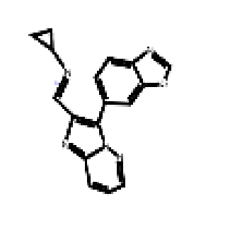 C(=N\C1CC1)/c1nc2cccnn2c1-c1ccc2ncoc2c1